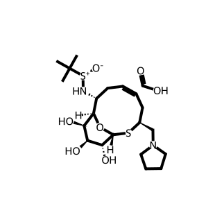 CC(C)(C)[S@@+]([O-])N[C@@H]1CC=CC[C@@H](CN2CCCC2)S[C@H]2O[C@H]1[C@H](O)[C@H](O)[C@H]2O.O=CO